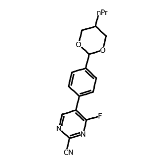 CCCC1COC(c2ccc(-c3cnc(C#N)nc3F)cc2)OC1